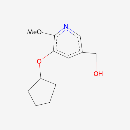 COc1ncc(CO)cc1OC1CCCC1